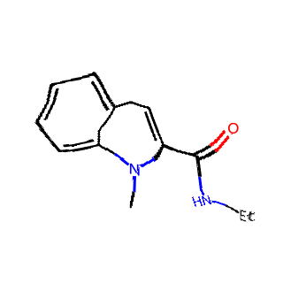 CCNC(=O)c1cc2ccccc2n1C